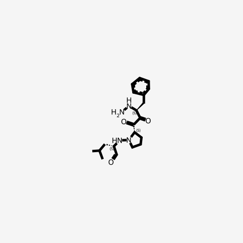 CC(C)C[C@@H](C=O)NN1CCC[C@H]1C(=O)C(=O)[C@H](Cc1ccccc1)NN